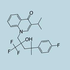 CC(C)c1cn(CC(O)(CC(C)(C)c2ccc(F)cc2)C(F)(F)F)c2ccccc2c1=O